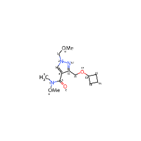 COCn1cc(C(=O)N(C)OC)c(COC2CCC2)n1